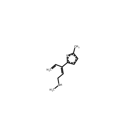 C=C/C(=C\CNC)c1ccc(C)s1